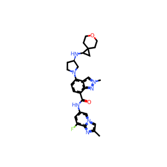 Cc1cn2cc(NC(=O)c3ccc(N4CC[C@@H](NC5CC56CCOCC6)C4)c4cn(C)nc34)cc(F)c2n1